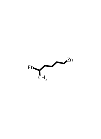 CCC(C)CCC[CH2][Zn]